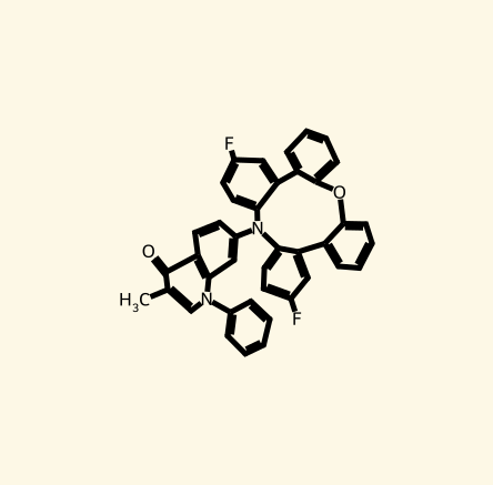 Cc1cn(-c2ccccc2)c2cc(N3c4ccc(F)cc4-c4ccccc4Oc4ccccc4-c4cc(F)ccc43)ccc2c1=O